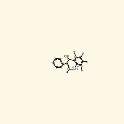 CC1=C(c2ccccc2)C(Cl)c2c(C)c(C)c(C)c(C)c2N1